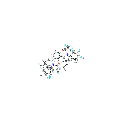 CCCC(C)(C)C(c1cccc(C(CC(C)(CC)CC)N(C(=O)C(F)(F)F)c2c(F)c(F)c(F)c(F)c2F)c1)N(C(=O)C(F)(F)F)c1c(F)c(F)c(F)c(F)c1F